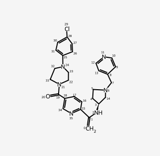 C=C(N[C@H]1CCN(Cc2ccncc2)C1)c1ccc(C(=O)N2CCN(c3ccc(Cl)cc3)CC2)cn1